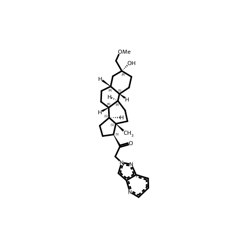 COC[C@@]1(O)CC[C@H]2[C@H](CC[C@@H]3[C@@H]2CC[C@]2(C)[C@@H](C(=O)Cn4cc5ncccc5n4)CC[C@@H]32)C1